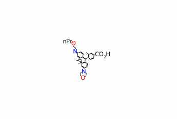 CCCOCC/N=C1\C=CC2=C(c3ccc(C(=O)O)cc3C)c3ccc(N4CCOCC4)cc3[Si](C)(C)C2=C1